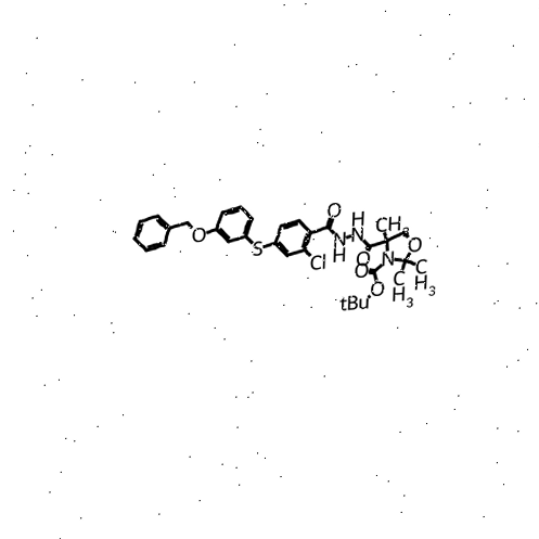 CC(C)(C)OC(=O)N1C(C)(C)OCC1(C)C(=O)NNC(=O)c1ccc(Sc2cccc(OCc3ccccc3)c2)cc1Cl